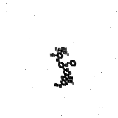 CCCc1cc(C(O)(C(F)(F)F)C(F)(F)F)ccc1Oc1ccc(C(=O)CN2C(=O)NC(C)(c3ccc(OC(C)C)cn3)C2=O)c(OCc2ccccc2)c1